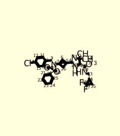 CC1(C)N=C(C23CC(N(Cc4ccc(Cl)cc4)S(=O)(=O)c4ccccc4)(C2)C3)N[C@H]1C(=O)NC[C@@H]1CC1(F)F